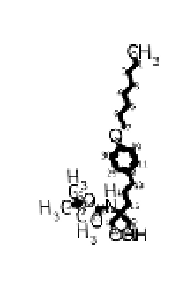 CCCCCCCCOc1ccc(CCCC(CO)(CO)NC(=O)OC(C)(C)C)cc1